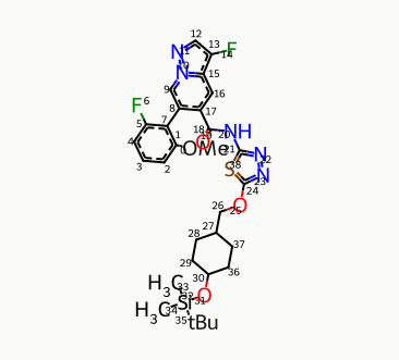 COc1cccc(F)c1-c1cn2ncc(F)c2cc1C(=O)Nc1nnc(OCC2CCC(O[Si](C)(C)C(C)(C)C)CC2)s1